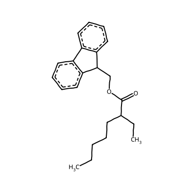 CCCCCC(CC)C(=O)OCC1c2ccccc2-c2ccccc21